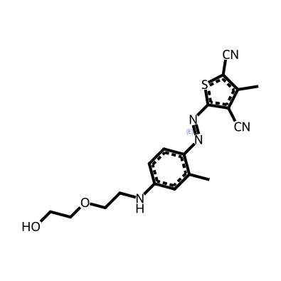 Cc1cc(NCCOCCO)ccc1/N=N/c1sc(C#N)c(C)c1C#N